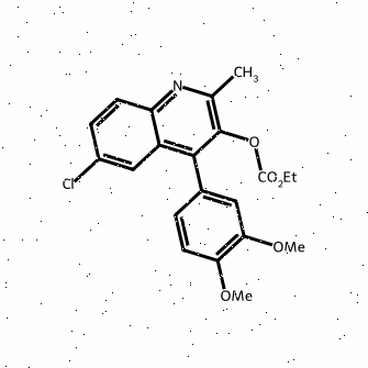 CCOC(=O)Oc1c(C)nc2ccc(Cl)cc2c1-c1ccc(OC)c(OC)c1